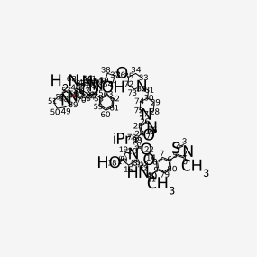 Cc1ncsc1-c1ccc([C@H](C)NC(=O)[C@@H]2C[C@@H](O)CN2C(=O)[C@@H](c2cc(N3CCC(CN4CCC(O[C@H]5C[C@H](N6CCC7(CC6)CC(N6C8CCC6CN(c6cc(-c9ccccc9O)nnc6N)C8)C7)C5)CC4)CC3)no2)C(C)C)cc1